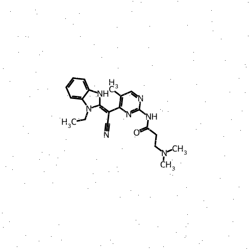 CCN1/C(=C(\C#N)c2nc(NC(=O)CCN(C)C)ncc2C)Nc2ccccc21